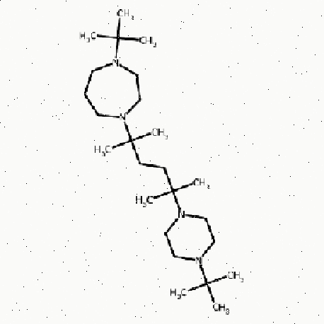 CC(C)(C)N1CCCN(C(C)(C)CCC(C)(C)N2CCN(C(C)(C)C)CC2)CC1